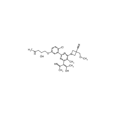 CNC[C@@H](O)COc1ccc(Cl)c(-c2nc(/C(C(C)=N)=C(\C)O)c(C)c(N3CC(C#N)(COC)C3)n2)c1